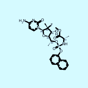 COC(=O)[C@H](C)NP(=O)(Oc1cccc2ccccc12)O[C@H](C)[C@H]1O[C@@H](n2ccc(N)nc2=O)[C@](C)(F)[C@@H]1O